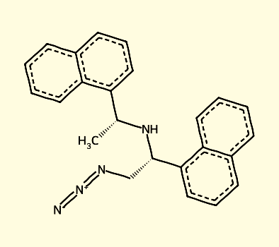 C[C@@H](N[C@@H](CN=[N+]=[N-])c1cccc2ccccc12)c1cccc2ccccc12